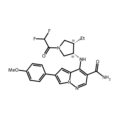 CC[C@H]1CN(C(=O)C(F)F)C[C@H]1Nc1c(C(N)=O)cnn2cc(-c3ccc(OC)cc3)cc12